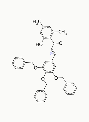 Cc1cc(C)c(C(=O)/C=C/c2cc(OCc3ccccc3)c(OCc3ccccc3)c(OCc3ccccc3)c2)c(O)c1